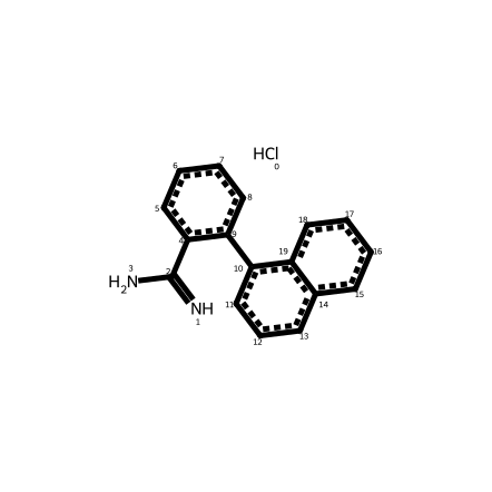 Cl.N=C(N)c1ccccc1-c1cccc2ccccc12